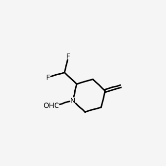 C=C1CCN(C=O)C(C(F)F)C1